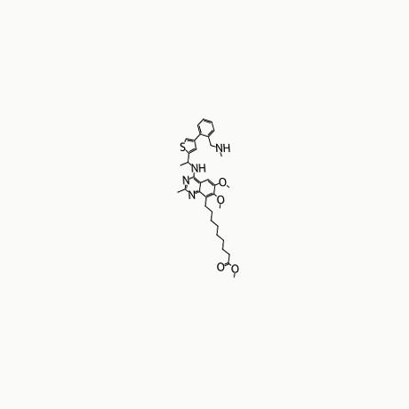 CNCc1ccccc1-c1csc(C(C)Nc2nc(C)nc3c(CCCCCCCCC(=O)OC)c(OC)c(OC)cc23)c1